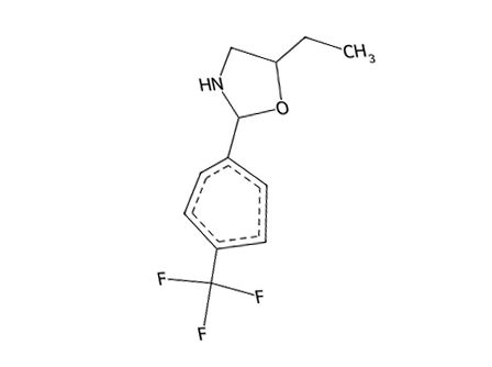 CCC1CNC(c2ccc(C(F)(F)F)cc2)O1